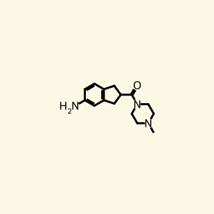 CN1CCN(C(=O)C2Cc3ccc(N)cc3C2)CC1